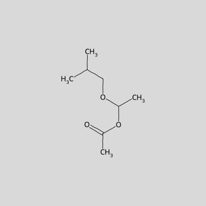 CC(=O)OC(C)OCC(C)C